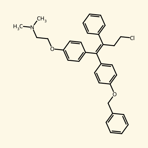 CN(C)CCOc1ccc(C(=C(CCCl)c2ccccc2)c2ccc(OCc3ccccc3)cc2)cc1